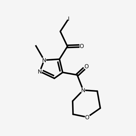 Cn1ncc(C(=O)N2CCOCC2)c1C(=O)CI